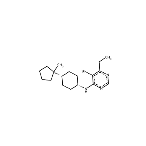 CCc1ncnc(N[C@H]2CC[C@@H](C3(C)CCCC3)CC2)c1Br